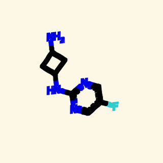 NC1CC(Nc2ncc(F)cn2)C1